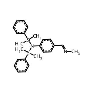 CN=Cc1ccc(N([Si](C)(C)c2ccccc2)[Si](C)(C)c2ccccc2)cc1